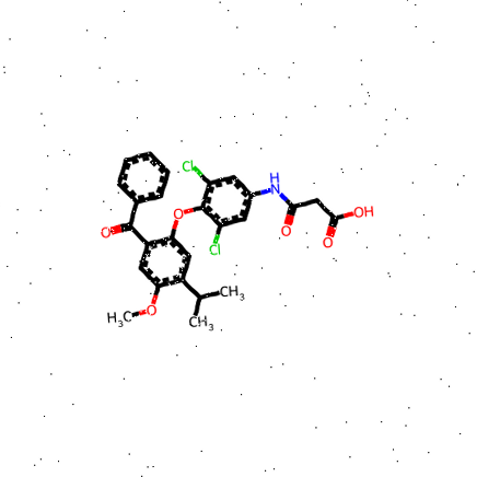 COc1cc(C(=O)c2ccccc2)c(Oc2c(Cl)cc(NC(=O)CC(=O)O)cc2Cl)cc1C(C)C